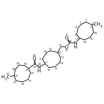 CC1CCCCC(NC(=O)OCC2CCCCC(NC(=O)C3CCCCC(C)CCC3)CCC2)CCC1